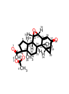 CC(=O)O[C@]1(C(C)=O)CC[C@H]2[C@@H]3[C@@H]4O[C@@H]4C4=CC(=O)[C@@H]5C[C@@H]5[C@]4(C)[C@H]3CC[C@@]21C